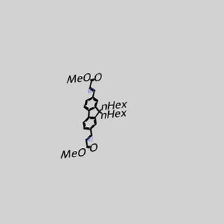 CCCCCCC1(CCCCCC)c2cc(/C=C/C(=O)OC)ccc2-c2ccc(/C=C/C(=O)OC)cc21